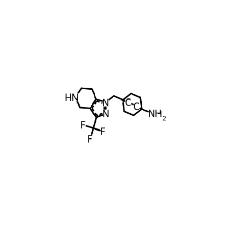 NC12CCC(Cn3nc(C(F)(F)F)c4c3CCNC4)(CC1)CC2